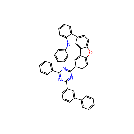 C1=c2oc3ccc4c5ccccc5n(-c5ccccc5)c4c3c2=CC(c2nc(-c3ccccc3)nc(-c3cccc(-c4ccccc4)c3)n2)C1